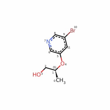 C[C@@H](CO)Oc1cncc(Br)c1